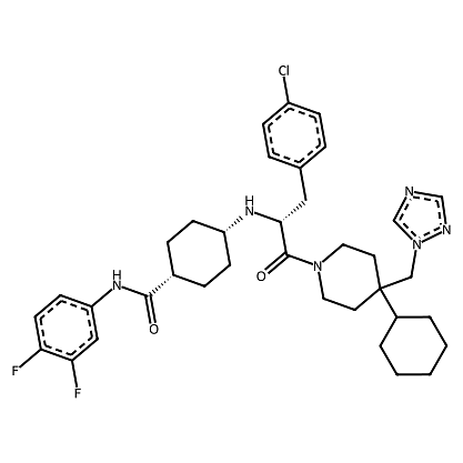 O=C([C@@H](Cc1ccc(Cl)cc1)N[C@H]1CC[C@@H](C(=O)Nc2ccc(F)c(F)c2)CC1)N1CCC(Cn2cncn2)(C2CCCCC2)CC1